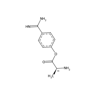 C[C@H](N)C(=O)Oc1ccc(C(=N)N)cc1